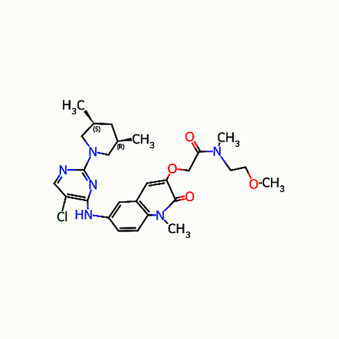 COCCN(C)C(=O)COc1cc2cc(Nc3nc(N4C[C@H](C)C[C@H](C)C4)ncc3Cl)ccc2n(C)c1=O